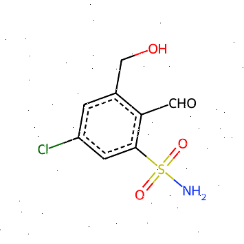 NS(=O)(=O)c1cc(Cl)cc(CO)c1C=O